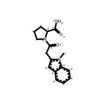 Cn1c(CC(=O)N2CCCC2C(N)=O)cc2ccccc21